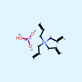 C=CC[N+](CC=C)(CC=C)CC=C.[O-][I+2]([O-])O